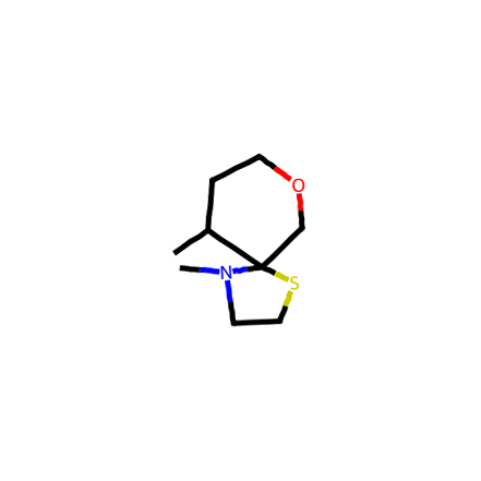 CC1CCOCC12SCCN2C